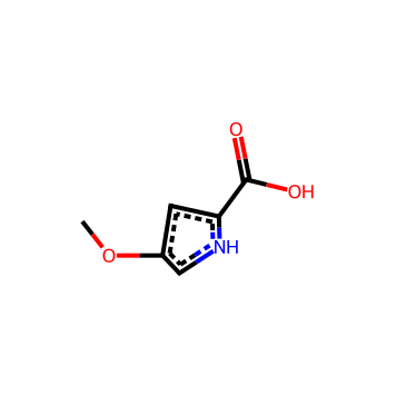 COc1c[nH]c(C(=O)O)c1